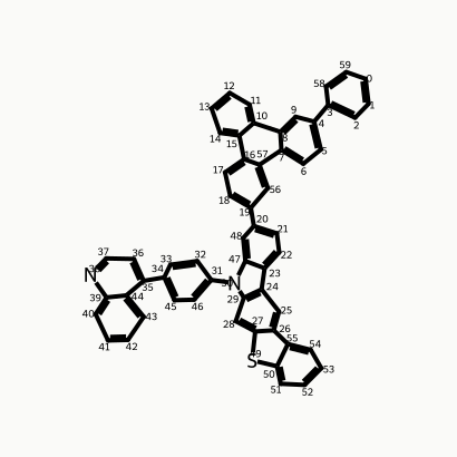 c1ccc(-c2ccc3c(c2)c2ccccc2c2ccc(-c4ccc5c6cc7c(cc6n(-c6ccc(-c8ccnc9ccccc89)cc6)c5c4)sc4ccccc47)cc23)cc1